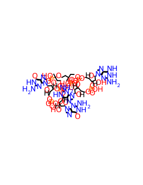 CCC(C)(CCOC(C)(CC)P(=O)(O)O[C@@H]1[C@@H]2OP(=O)(O)OC[C@H]3O[C@@H](n4cnc5c(=O)[nH]c(N)nc54)[C@H](O)[C@@H]3OP(=O)(O)OC[C@H]2O[C@H]1n1cnc2c(=O)[nH]c(N)nc21)OP(=O)(O)O[C@@H]1[C@@H]2OP(=O)(O)OC[C@H]3O[C@@H](n4cnc5c(=N)[nH]c(N)nc54)[C@H](O)[C@@H]3OP(=O)(O)OC[C@H]2O[C@H]1n1cnc2c(=O)[nH]c(N)nc21